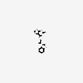 Nc1nc(SCC(=O)n2cnc3ccccc32)c2[nH]cnc2n1